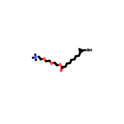 CCCCCCCCC1CC1CCCCCCCC(=O)OCCOCCOCC[N+](C)(C)C